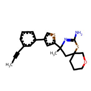 CC#Cc1cccc(-c2csc(C3(C)CC4(CCCOC4)SC(N)=N3)c2)c1